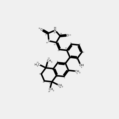 Cc1cc2c(cc1-c1c(O)cccc1/C=C1/SC(=O)NC1=O)C(C)(C)CCC2(C)C